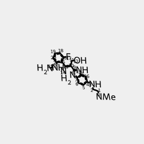 CNCCNc1ccc2nc(/C(CO)=C(\N)c3c(F)cccc3NN)[nH]c2c1